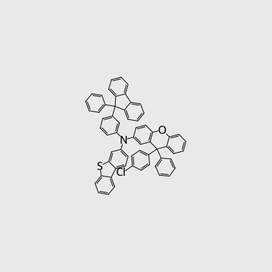 Clc1ccc(C2(c3ccccc3)c3ccccc3Oc3ccc(N(c4cccc(C5(c6ccccc6)c6ccccc6-c6ccccc65)c4)c4ccc5c(c4)sc4ccccc45)cc32)cc1